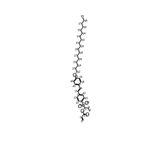 C=CC(=O)OC(CC)S(=O)(=O)c1ccc(C=Cc2ccc(OCCCCCCCCCCCCCCCCCC)cc2)cc1